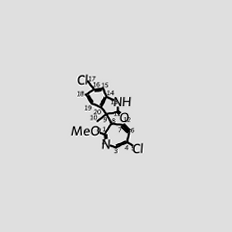 COC1=NC=C(Cl)C#CC1C1(C)C(=O)Nc2cc(Cl)ccc21